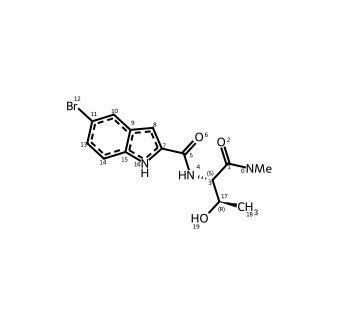 CNC(=O)[C@@H](NC(=O)c1cc2cc(Br)ccc2[nH]1)[C@@H](C)O